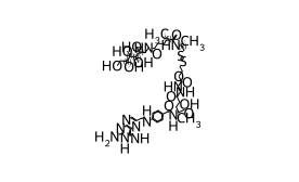 C[C@H](CSSCCOC(=O)NNC(=O)CCC(C)(NC(=O)c1ccc(NCc2cnc3nc(N)[nH]c(=N)c3n2)cc1)C(=O)O)NC(=O)[C@@H](C)CCC(=O)NC[C@H](O)[C@@H](O)[C@H](O)[C@H](O)CO